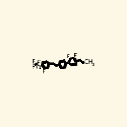 CCCc1ccc(-c2ccc(CCc3ccc(OC(F)(F)F)c(F)c3)cc2)c(F)c1F